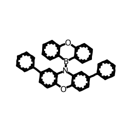 c1ccc(-c2ccc3c(c2)N(B2c4ccccc4Oc4ccccc42)c2cc(-c4ccccc4)ccc2O3)cc1